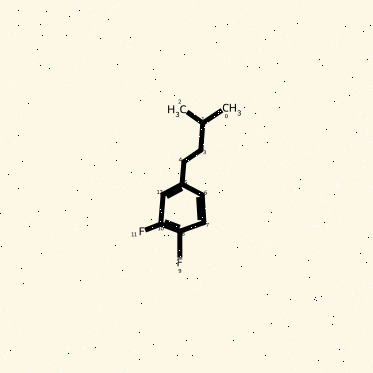 C[C](C)CCc1ccc(F)c(F)c1